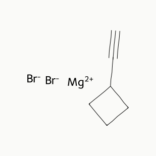 C#CC1CCC1.[Br-].[Br-].[Mg+2]